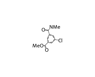 CNC(=O)c1cc(Cl)cc(C(=O)OC)c1